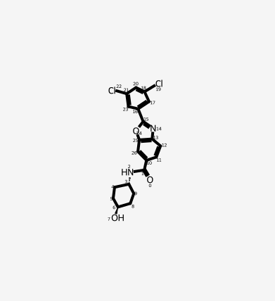 O=C(N[C@H]1CC[C@H](O)CC1)c1ccc2nc(-c3cc(Cl)cc(Cl)c3)oc2c1